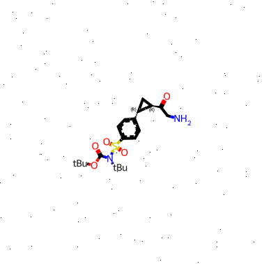 CC(C)(C)OC(=O)N(C(C)(C)C)S(=O)(=O)c1ccc([C@@H]2C[C@H]2C(=O)CN)cc1